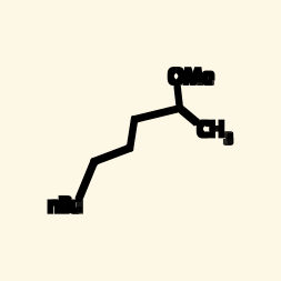 CCCCCCCC(C)OC